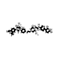 C[C@@H]1CN(CCC[C@H]2CC[C@H](N3C(=S)N(c4ccc(C#N)c(C(F)(F)F)c4)C(=O)C3(C)C)CC2)C[C@H](C)N1CC(=O)Nc1ccc(C2CCC(=O)NC2=O)nc1